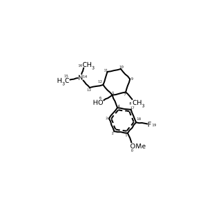 COc1ccc(C2(O)C(C)CCCC2CN(C)C)cc1F